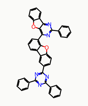 c1ccc(-c2nc(-c3ccccc3)nc(-c3ccc4oc5c(-c6nc(-c7ccccc7)nc7c6oc6ccccc67)cccc5c4c3)n2)cc1